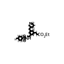 CCOC(=O)CCc1cc(CCNS(=O)(=O)c2ccc(C)cc2)cc(Cc2cccnc2)c1